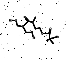 CCOCN(COCC)C(=O)N(C)CCOC(=O)C(C)(C)CC